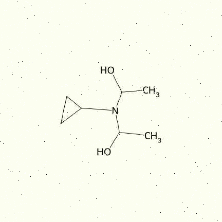 CC(O)N(C(C)O)C1CC1